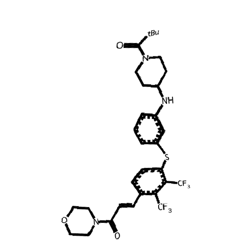 CC(C)(C)C(=O)N1CCC(Nc2cccc(Sc3ccc(C=CC(=O)N4CCOCC4)c(C(F)(F)F)c3C(F)(F)F)c2)CC1